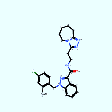 COc1cc(Cl)ccc1Cn1nc(C(=O)NCCc2nnc3n2CCCCC3)c2ccccc21